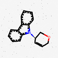 C1=C[C@@H](n2c3ccccc3c3ccccc32)COC1